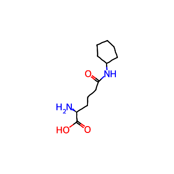 N[C@@H](CCCC(=O)NC1CCCCC1)C(=O)O